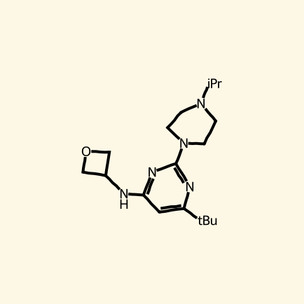 CC(C)N1CCN(c2nc(NC3COC3)cc(C(C)(C)C)n2)CC1